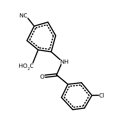 N#Cc1ccc(NC(=O)c2cccc(Cl)c2)c(C(=O)O)c1